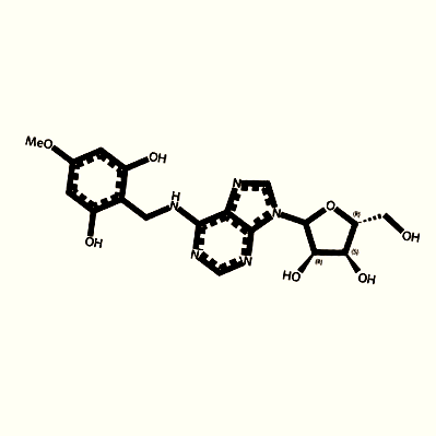 COc1cc(O)c(CNc2ncnc3c2ncn3C2O[C@H](CO)[C@@H](O)[C@H]2O)c(O)c1